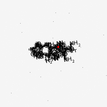 CC(C)P(=O)(NCCN)OCC1CN(P(=O)(NCCN)OCC2CN(P(=O)(OCC3CN4CC(O3)n3cnc5c(=O)[nH]c(nc53)Nc3cn(c(=O)[nH]c3=O)C3CN(P(=O)(OCC5CN(C)CC(n6ccc(N)nc6=O)O5)N(C)C)CC(COP4(=O)N(C)C)O3)N(C)C)CC(n3cnc4c(N)ncnc43)O2)CC(n2cnc3c(N)ncnc32)O1